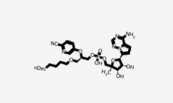 CCCCCCCCCCCCCCOC[C@H](COP(=O)(O)OC[C@@]1(C)O[C@@H](c2ccc3c(N)ncnn23)[C@H](O)[C@@H]1O)Oc1ccc(C#N)nc1